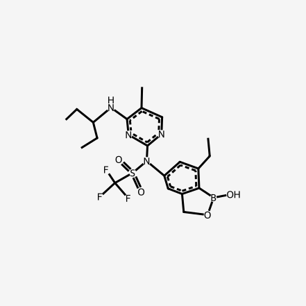 CCc1cc(N(c2ncc(C)c(NC(CC)CC)n2)S(=O)(=O)C(F)(F)F)cc2c1B(O)OC2